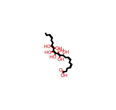 CC/C=C\CC/C(O)=C(O)/C(O)=C(O)\C(O)=C(/O)[C@@H](O)C/C=C\C/C=C\CCC(=O)O